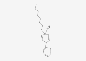 CCCCCCCCC1(C#N)C=CC(c2ccccc2)C=C1